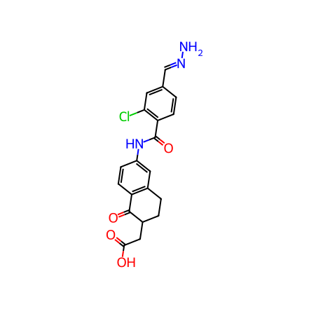 NN=Cc1ccc(C(=O)Nc2ccc3c(c2)CCC(CC(=O)O)C3=O)c(Cl)c1